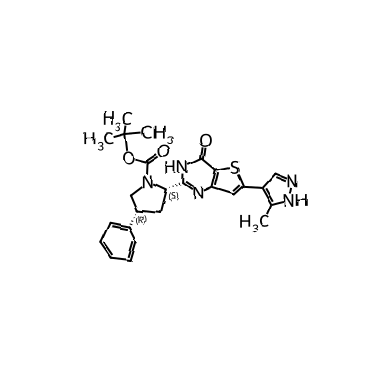 Cc1[nH]ncc1-c1cc2nc([C@@H]3C[C@H](c4ccccc4)CN3C(=O)OC(C)(C)C)[nH]c(=O)c2s1